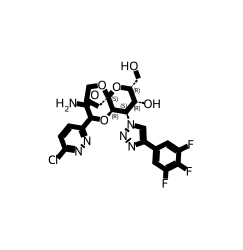 NC(=O)C(O[C@@H]1[C@@H](n2cc(-c3cc(F)c(F)c(F)c3)nn2)[C@@H](O)[C@@H](CO)O[C@@]12CCCO2)c1ccc(Cl)nn1